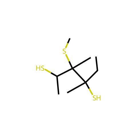 CCC(C)(S)C(C)(SC)C(C)S